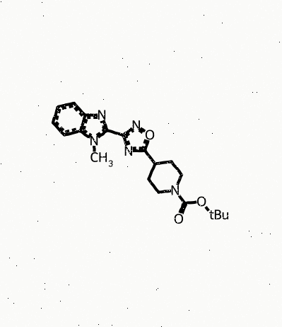 Cn1c(-c2noc(C3CCN(C(=O)OC(C)(C)C)CC3)n2)nc2ccccc21